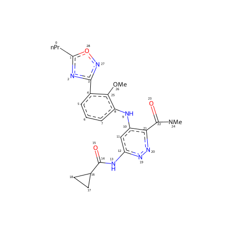 CCCc1nc(-c2cccc(Nc3cc(NC(=O)C4CC4)nnc3C(=O)NC)c2OC)no1